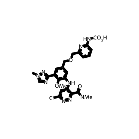 CNC(=O)c1nnc(Cl)cc1Nc1cc(COCc2cccc(NC(=O)O)n2)cc(-c2ncn(C)n2)c1OC